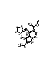 COC(=O)c1ccc2nc(CCl)n(C[C@@H]3CCCO3)c2c1F